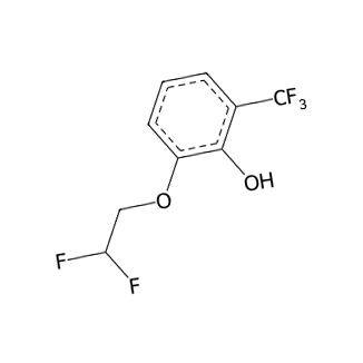 Oc1c(OCC(F)F)cccc1C(F)(F)F